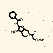 COCC(=O)N1CCc2c(sc(NC(=O)c3ccccc3)c2C#N)C1